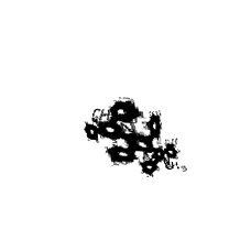 Cn1c2ccccc2c2cc3c4c(-c5ccccc5)c5c(c(-c6ccccc6)c4n4c6ccccc6c(c21)c34)c1cc2c3ccccc3n(C)c2c2c3ccccc3n5c12